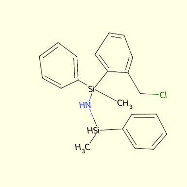 C[SiH](N[Si](C)(c1ccccc1)c1ccccc1CCl)c1ccccc1